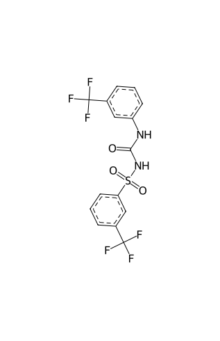 O=C(Nc1cccc(C(F)(F)F)c1)NS(=O)(=O)c1cccc(C(F)(F)F)c1